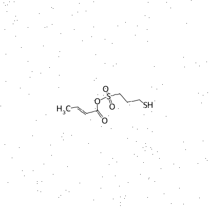 CC=CC(=O)OS(=O)(=O)CCCS